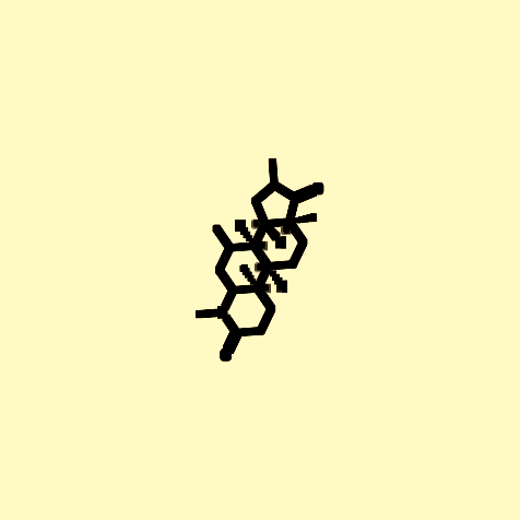 CC1C[C@H]2[C@@H]3C(C)CC4N(C)C(=O)CC[C@]4(C)[C@@H]3CC[C@]2(C)C1=O